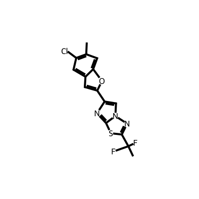 Cc1cc2oc(-c3cn4nc(C(C)(F)F)sc4n3)cc2cc1Cl